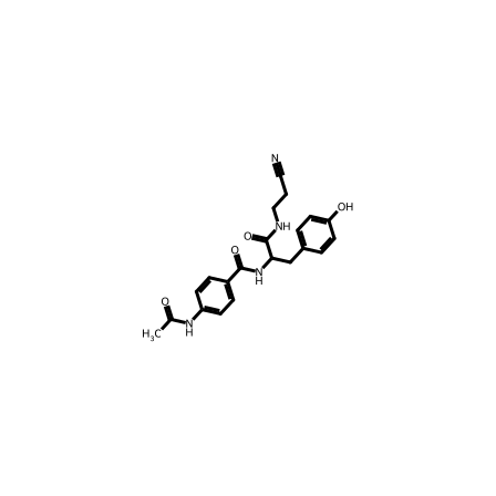 CC(=O)Nc1ccc(C(=O)NC(Cc2ccc(O)cc2)C(=O)NCCC#N)cc1